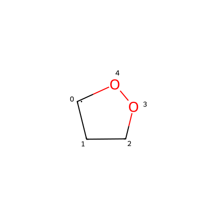 [CH]1CCOO1